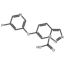 O=C(O)[N+]12C=C(Oc3cncc(F)c3)C=CC1=CN=N2